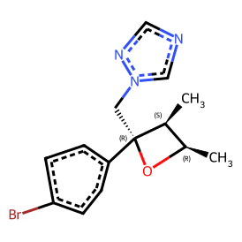 C[C@H]1O[C@@](Cn2cncn2)(c2ccc(Br)cc2)[C@H]1C